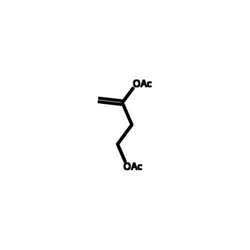 C=C(CCOC(C)=O)OC(C)=O